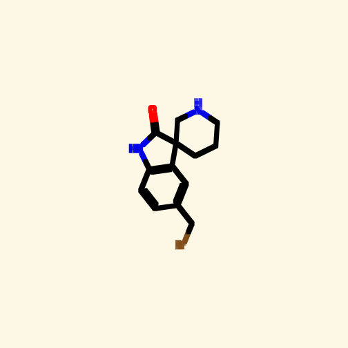 O=C1Nc2ccc(CBr)cc2C12CCCNC2